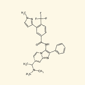 CC(c1ccn2c(NC(=O)c3ccc(C(F)(F)F)c(-c4ccn(C)n4)c3)c(-c3ccccc3)nc2c1)N(C)C